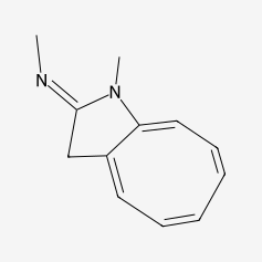 C/N=C1/CC2=C/C=C\C=C/C=C\2N1C